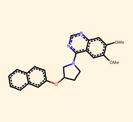 COc1cc2ncnc(N3CCC(Oc4ccc5ccccc5c4)C3)c2cc1OC